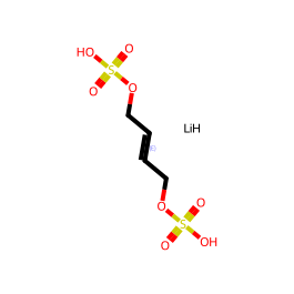 O=S(=O)(O)OC/C=C/COS(=O)(=O)O.[LiH]